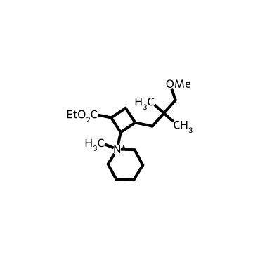 CCOC(=O)C1CC(CC(C)(C)COC)C1[N+]1(C)CCCCC1